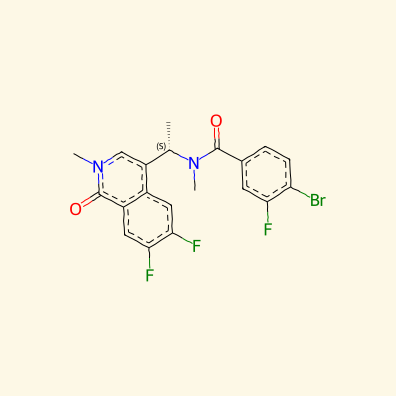 C[C@@H](c1cn(C)c(=O)c2cc(F)c(F)cc12)N(C)C(=O)c1ccc(Br)c(F)c1